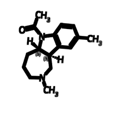 CC(=O)N1c2ccc(C)cc2[C@H]2CN(C)CCC[C@@H]21